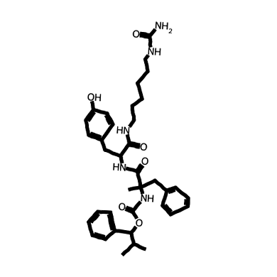 CC(C)C(OC(=O)NC(C)(Cc1ccccc1)C(=O)NC(Cc1ccc(O)cc1)C(=O)NCCCCCCNC(N)=O)c1ccccc1